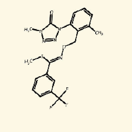 CSC(=NOCc1c(C)cccc1-n1nnn(C)c1=O)c1cccc(C(F)(F)F)c1